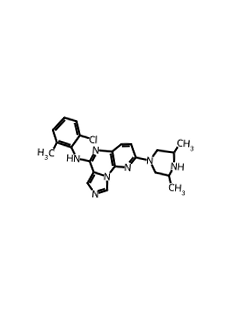 Cc1cccc(Cl)c1Nc1nc2ccc(N3CC(C)NC(C)C3)nc2n2cncc12